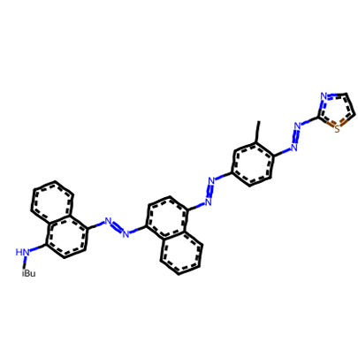 CCC(C)Nc1ccc(/N=N/c2ccc(/N=N/c3ccc(/N=N/c4nccs4)c(C)c3)c3ccccc23)c2ccccc12